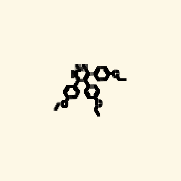 CCOc1ccc(-c2nnnc(-c3ccc(OCC)cc3)c2-c2ccc(OCC)cc2)cc1